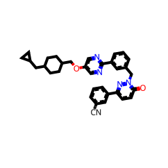 N#Cc1cccc(-c2ccc(=O)n(Cc3cccc(-c4ncc(OCC5CCC(CC6CC6)CC5)cn4)c3)n2)c1